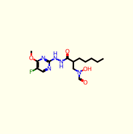 CCCCCC(CN(O)C=O)C(=O)NNc1ncc(F)c(OC)n1